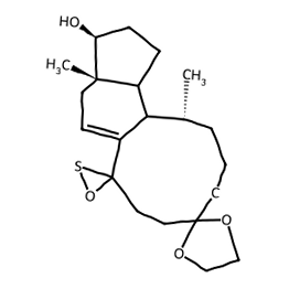 C[C@@H]1CCCC2(CCC3(OS3)C3=CC[C@@]4(C)C(CC[C@@H]4O)C31)OCCO2